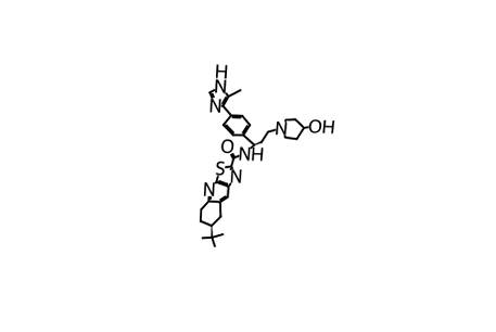 Cc1[nH]cnc1-c1ccc([C@@H](CCN2CCC(O)CC2)NC(=O)c2nc3cc4c(nc3s2)CC[C@H](C(C)(C)C)C4)cc1